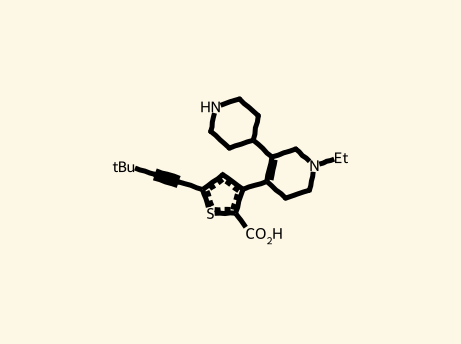 CCN1CCC(c2cc(C#CC(C)(C)C)sc2C(=O)O)=C(C2CCNCC2)C1